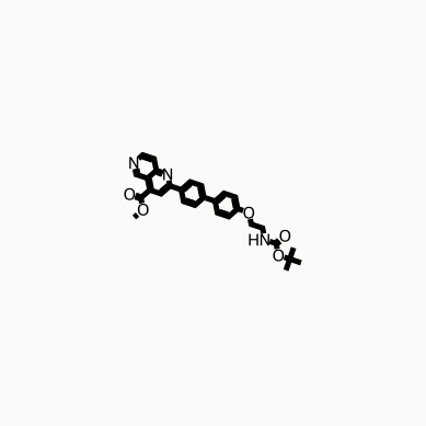 COC(=O)c1cc(-c2ccc(-c3ccc(OCCNC(=O)OC(C)(C)C)cc3)cc2)nc2ccncc12